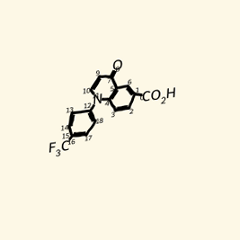 O=C(O)c1ccc2c(c1)c(=O)ccn2-c1ccc(C(F)(F)F)cc1